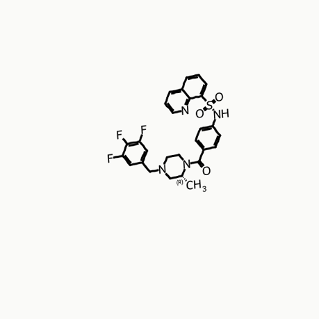 C[C@@H]1CN(Cc2cc(F)c(F)c(F)c2)CCN1C(=O)c1ccc(NS(=O)(=O)c2cccc3cccnc23)cc1